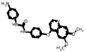 COc1cc2nccc(Oc3ccc(NC(=O)Nc4ccc(N)cc4)cc3)c2cc1OC